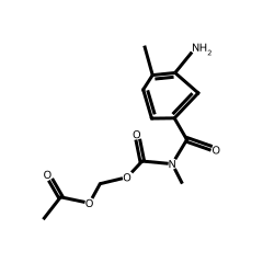 CC(=O)OCOC(=O)N(C)C(=O)c1ccc(C)c(N)c1